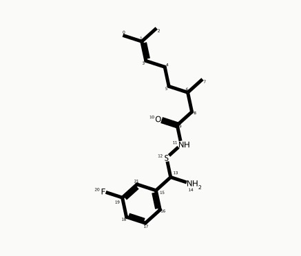 CC(C)=CCCC(C)CC(=O)NSC(N)c1cccc(F)c1